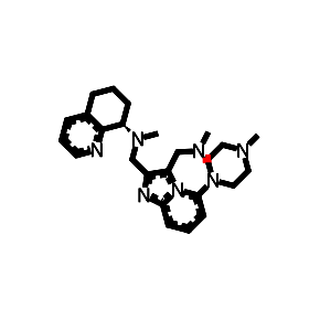 CN(C)Cc1c(CN(C)[C@H]2CCCc3cccnc32)nc2cccc(N3CCN(C)CC3)n12